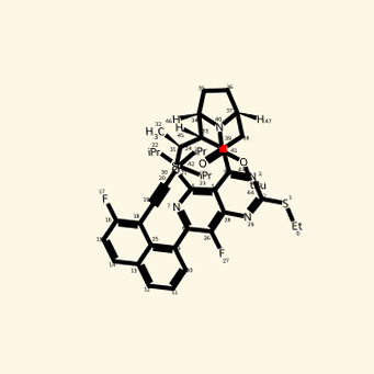 CCSc1nc2c3c(nc(-c4cccc5ccc(F)c(C#C[Si](C(C)C)(C(C)C)C(C)C)c45)c(F)c3n1)O[C@@H](C)[C@@H]1[C@@H]3CC[C@H](CN21)N3C(=O)OC(C)(C)C